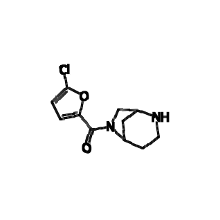 O=C(c1ccc(Cl)o1)N1CC2CC1CCN2